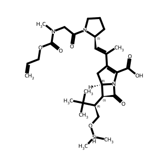 C=CCOC(=O)N(C)CC(=O)N1CCC[C@H]1C=C(C)C1=C(C(=O)O)N2C(=O)[C@@H]([C@@H](CO[SiH](C)C)C(C)(C)C)[C@H]2C1